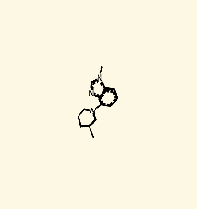 C[C@H]1CCCN(c2cccc3c2ncn3C)C1